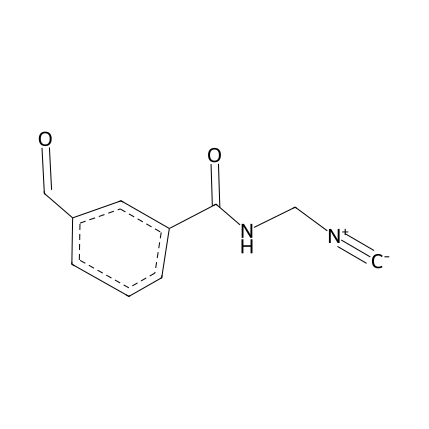 [C-]#[N+]CNC(=O)c1cccc(C=O)c1